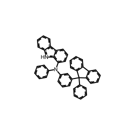 c1ccc(N(c2cccc(C3(c4ccccc4)c4ccccc4-c4ccccc43)c2)c2cccc3c2[nH]c2ccccc23)cc1